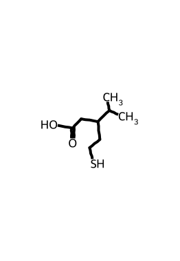 CC(C)C(CCS)CC(=O)O